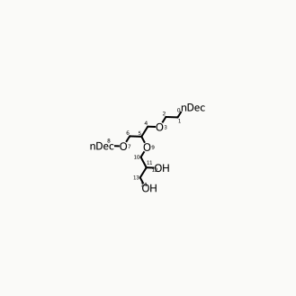 CCCCCCCCCCCCOCC(COCCCCCCCCCC)OCC(O)CO